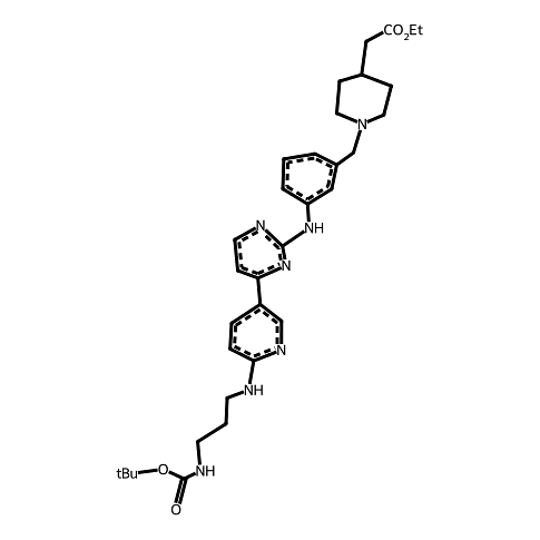 CCOC(=O)CC1CCN(Cc2cccc(Nc3nccc(-c4ccc(NCCCNC(=O)OC(C)(C)C)nc4)n3)c2)CC1